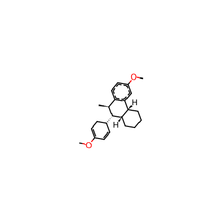 COC1=CCC([C@H]2[C@H]3CCCC[C@H]3c3cc(OC)ccc3[C@@H]2C)C=C1